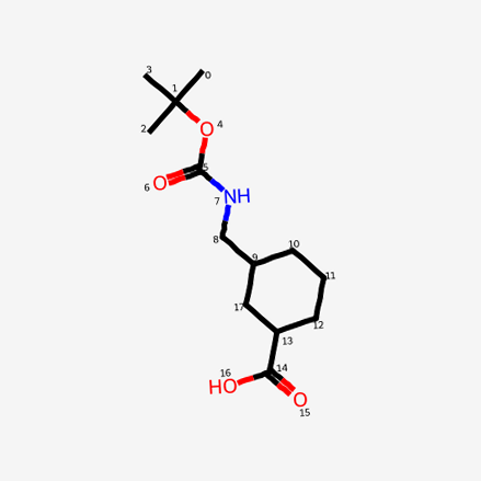 CC(C)(C)OC(=O)NCC1CCCC(C(=O)O)C1